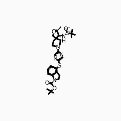 C[C@@H]1OCC2(CCN(c3cnc(Sc4cccc5c4CCN5C(=O)OC(C)(C)C)cn3)CC2)[C@@H]1N[S@+]([O-])C(C)(C)C